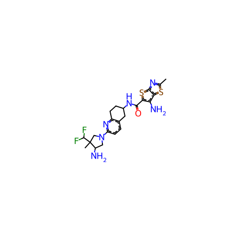 Cc1nc2sc(C(=O)NC3CCc4nc(N5CC(N)C(C)(C(F)F)C5)ccc4C3)c(N)c2s1